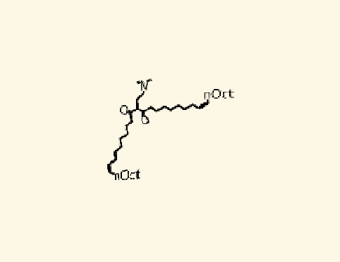 CCCCCCCC/C=C\CCCCCCCC(=O)C(CCN(C)C)C(=O)CCCCCCC/C=C\CCCCCCCC